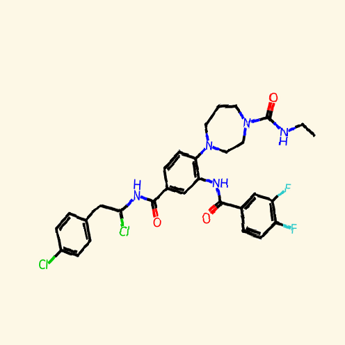 CCNC(=O)N1CCCN(c2ccc(C(=O)NC(Cl)Cc3ccc(Cl)cc3)cc2NC(=O)c2ccc(F)c(F)c2)CC1